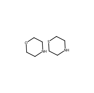 C1COCCN1.C1CSCCN1